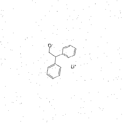 [Li+].[O-]CC(c1ccccc1)c1ccccc1